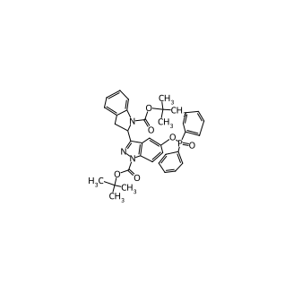 CC(C)(C)OC(=O)N1c2ccccc2CC1c1nn(C(=O)OC(C)(C)C)c2ccc(OP(=O)(c3ccccc3)c3ccccc3)cc12